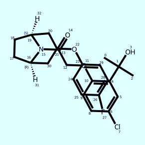 CC(C)(O)c1cc(Cl)ccc1OCC(=O)N1[C@@H]2CC[C@H]1CC(Oc1ccc(F)cc1)C2